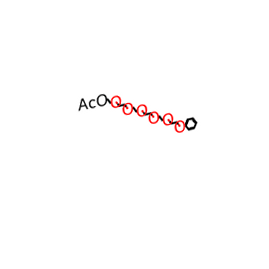 CC(=O)OCCOCCOCCOCCOCCOCCOc1ccccc1